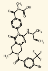 C=CC(C)Nc1nc2c(c(=O)n1-c1ccc(C(=O)N(C)C(=O)O)cc1)CC(C)N(C(=O)c1ccc(Br)c(C(F)(F)F)c1)C2